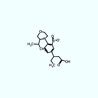 CCC(CC(=O)O)c1ccc(N2CCOCC2C(C)C)c([N+](=O)[O-])c1